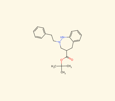 CC(C)(C)OC(=O)C1Cc2ccccc2NN(CCc2ccccc2)C1